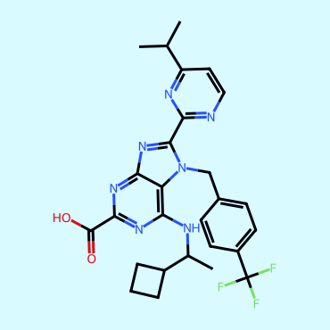 CC(C)c1ccnc(-c2nc3nc(C(=O)O)nc(NC(C)C4CCC4)c3n2Cc2ccc(C(F)(F)F)cc2)n1